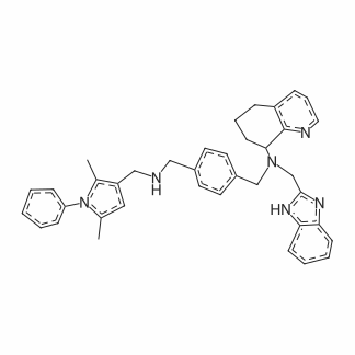 Cc1cc(CNCc2ccc(CN(Cc3nc4ccccc4[nH]3)C3CCCc4cccnc43)cc2)c(C)n1-c1ccccc1